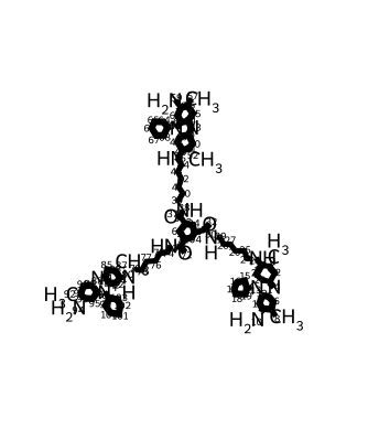 CC1=CC2=Nc3cc(C)c(N)cc3N(c3ccccc3)C2C=C1NCCCCCCNC(=O)c1cc(C(=O)NCCCCCCNc2cc3c(cc2C)nc2cc(C)c(N)cc2[n+]3-c2ccccc2)cc(C(=O)NCCCCCCNc2cc3c(cc2C)nc2cc(C)c(N)cc2[n+]3-c2ccccc2)c1